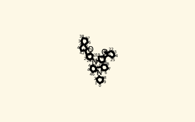 c1ccc(-n2c3ccccc3c3c(N(c4ccc5c(c4)oc4ccccc45)c4ccc5c(c4)oc4c6ccccc6ccc54)cccc32)cc1